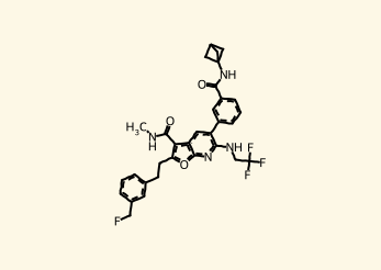 CNC(=O)c1c(CCc2cccc(CF)c2)oc2nc(NCC(F)(F)F)c(-c3cccc(C(=O)NC45CC(C4)C5)c3)cc12